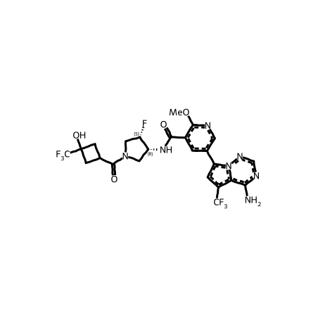 COc1ncc(-c2cc(C(F)(F)F)c3c(N)ncnn23)cc1C(=O)N[C@@H]1CN(C(=O)C2CC(O)(C(F)(F)F)C2)C[C@@H]1F